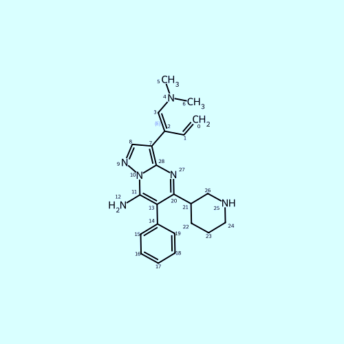 C=C/C(=C\N(C)C)c1cnn2c(N)c(-c3ccccc3)c(C3CCCNC3)nc12